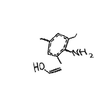 C=CO.Cc1cc(C)c(N)c(C)c1